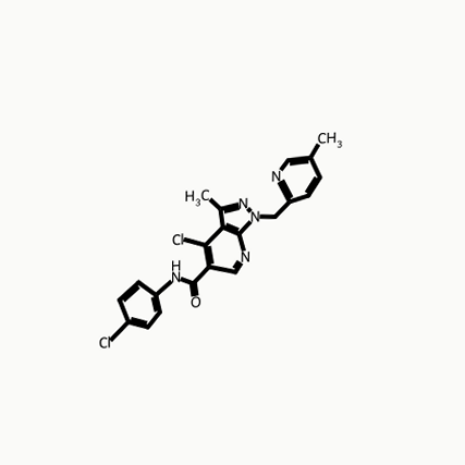 Cc1ccc(Cn2nc(C)c3c(Cl)c(C(=O)Nc4ccc(Cl)cc4)cnc32)nc1